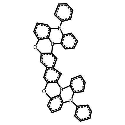 c1ccc(N2c3ccccc3B3c4cc5cc6c(cc5cc4Oc4cccc2c43)Oc2cccc3c2B6c2ccccc2N3c2ccccc2)cc1